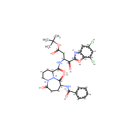 CC(C)(C)OC(=O)CC(NC(=O)C1CCCN2C(=O)CCC(NC(=O)c3ccccc3)C(=O)N12)C(=O)c1nc2cc(Cl)cc(Cl)c2o1